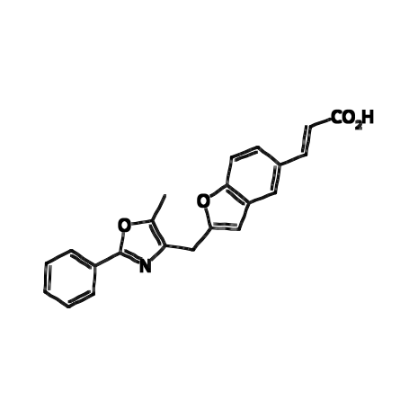 Cc1oc(-c2ccccc2)nc1Cc1cc2cc(/C=C/C(=O)O)ccc2o1